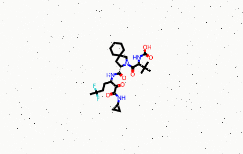 CC(F)(F)CCC(NC(=O)[C@@H]1CC2(CCCCC2)CN1C(=O)C(NC(=O)O)C(C)(C)C)C(=O)C(=O)NC1CC1